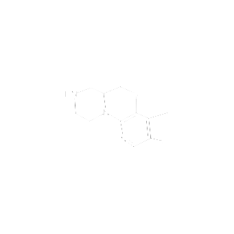 Cc1c(Cl)cnc2c1SCC1CNCCN21